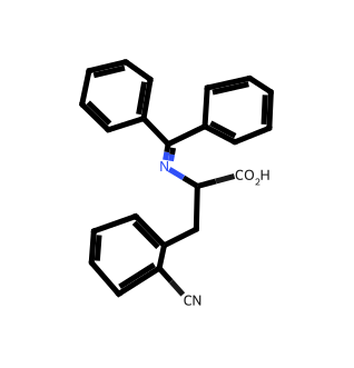 N#Cc1ccccc1CC(N=C(c1ccccc1)c1ccccc1)C(=O)O